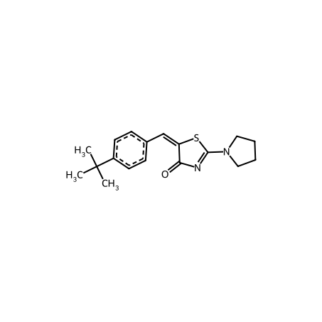 CC(C)(C)c1ccc(C=C2SC(N3CCCC3)=NC2=O)cc1